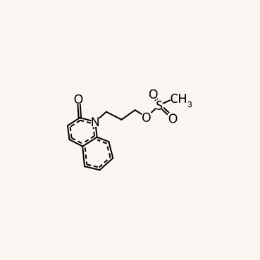 CS(=O)(=O)OCCCn1c(=O)ccc2ccccc21